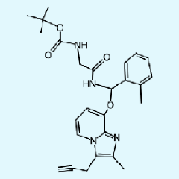 C#CCc1c(C)nc2c(OC(NC(=O)CNC(=O)OC(C)(C)C)c3ccccc3C)cccn12